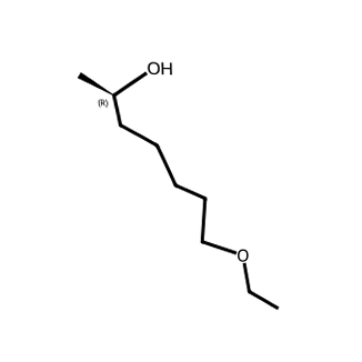 CCOCCCCC[C@@H](C)O